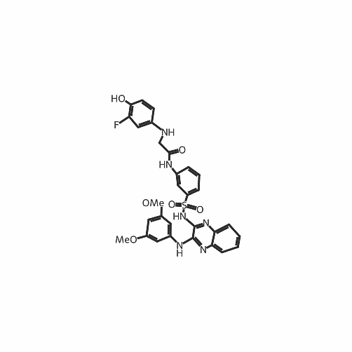 COc1cc(Nc2nc3ccccc3nc2NS(=O)(=O)c2cccc(NC(=O)CNc3ccc(O)c(F)c3)c2)cc(OC)c1